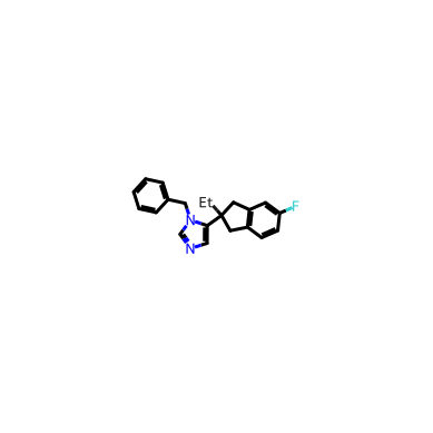 CCC1(c2cncn2Cc2ccccc2)Cc2ccc(F)cc2C1